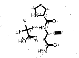 C#C[C@H](CC(N)=O)NC(=O)[C@@H]1CCCN1.O=C(O)C(F)(F)F